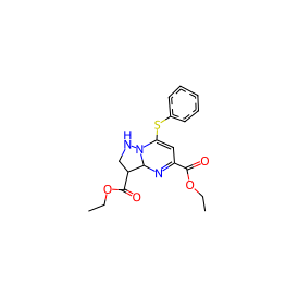 CCOC(=O)C1=NC2C(C(=O)OCC)CNN2C(Sc2ccccc2)=C1